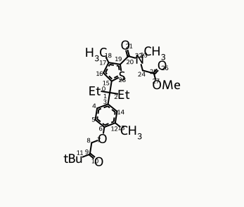 CCC(CC)(c1ccc(OCC(=O)C(C)(C)C)c(C)c1)c1cc(C)c(C(=O)N(C)CC(=O)OC)s1